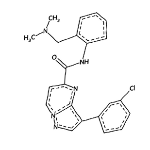 CN(C)Cc1ccccc1NC(=O)c1ccn2ncc(-c3cccc(Cl)c3)c2n1